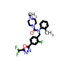 Cc1ccccc1N(Cc1ccc(-c2nnc(C(F)F)o2)cc1F)C(=O)N1CCN(C)CC1